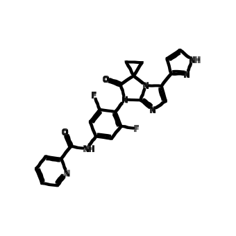 O=C(Nc1cc(F)c(N2C(=O)C3(CC3)n3c(-c4cc[nH]n4)cnc32)c(F)c1)c1ccccn1